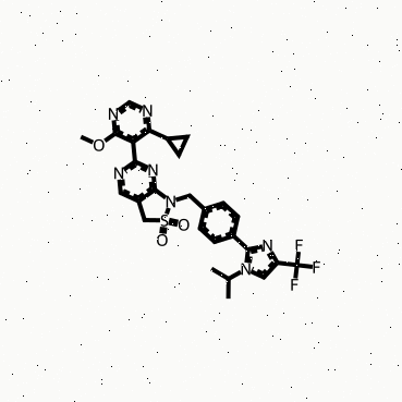 COc1ncnc(C2CC2)c1-c1ncc2c(n1)N(Cc1ccc(-c3nc(C(F)(F)F)cn3C(C)C)cc1)S(=O)(=O)C2